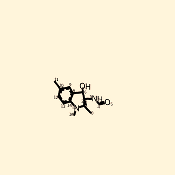 CC1=C(NC=O)C(O)c2cc(C)ccc2N1C